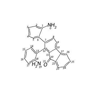 Nc1ccccc1-c1ccc2c(c1-c1ccccc1N)C(=O)c1ccccc1-2